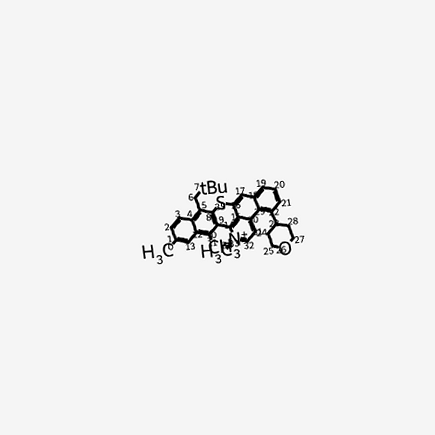 Cc1ccc2c(CC(C)(C)C)c3c(c(C)c2c1)-c1c2c(cc4cccc(C5CCOCC5)c4c2cc[n+]1C)S3